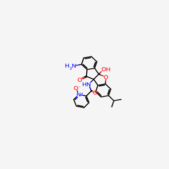 CC(C)c1ccc2c(c1)OC1(O)c3cccc(N)c3C(=O)C21NC(=O)c1cccc[n+]1[O-]